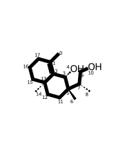 CC1=C2[C@H](O)[C@](C)([C@@H](C)CO)CC[C@@]2(C)CCC1